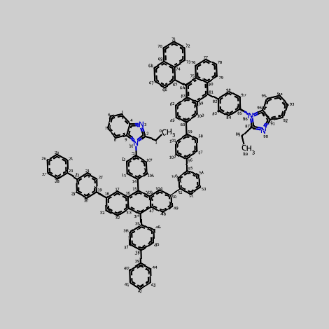 CCc1nc2ccccc2n1-c1ccc(-c2c3cc(-c4ccc(-c5ccccc5)cc4)ccc3c(-c3ccc(-c4ccccc4)cc3)c3ccc(-c4cccc(-c5ccc(-c6ccc7c(-c8cccc9ccccc89)c8ccccc8c(-c8ccc(-n9c(CC)nc%10ccccc%109)cc8)c7c6)cc5)c4)cc23)cc1